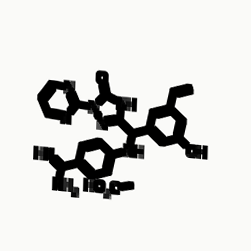 C=Cc1cc(O)cc(C(Nc2ccc(C(=N)N)cc2)c2nn(-c3ncccn3)c(=O)[nH]2)c1.CC(=O)O